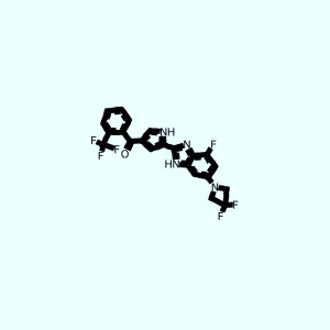 O=C(c1c[nH]c(-c2nc3c(F)cc(N4CC(F)(F)C4)cc3[nH]2)c1)c1ccccc1C(F)(F)F